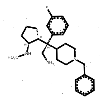 NC[C@@](c1cccc(F)c1)(C1CCN(Cc2ccccc2)CC1)[C@H]1CCC[C@@H]1NC(=O)O